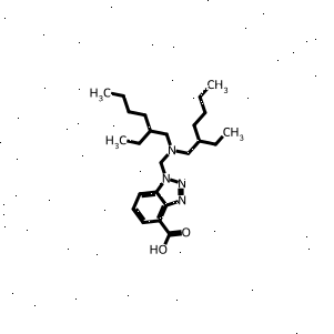 CCCCC(CC)CN(CC(CC)CCCC)Cn1nnc2c(C(=O)O)cccc21